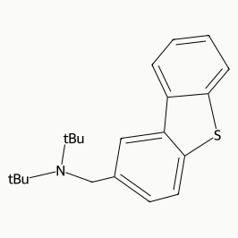 CC(C)(C)N(Cc1ccc2sc3ccccc3c2c1)C(C)(C)C